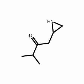 CC(C)C(=O)CC1CN1